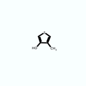 Cc1cscc1O